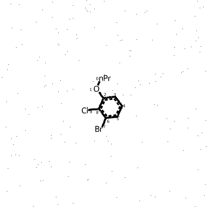 CCCOc1cccc(Br)c1Cl